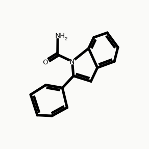 NC(=O)n1c(-c2ccccc2)cc2ccccc21